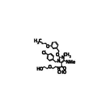 C=CCOc1cccc(COC2N(C)C(NC)=C(C(=O)N(C=O)CCOCCO)N2Cc2ccc(Cl)cc2)c1